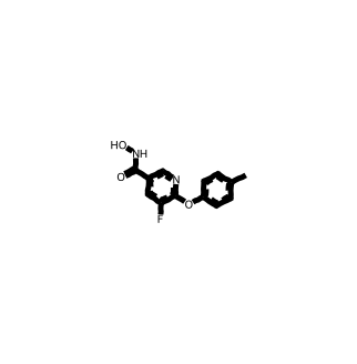 Cc1ccc(Oc2ncc(C(=O)NO)cc2F)cc1